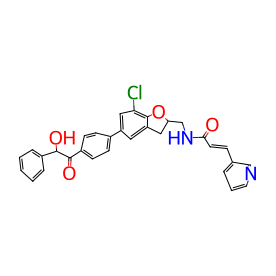 O=C(C=Cc1cccnc1)NCC1Cc2cc(-c3ccc(C(=O)C(O)c4ccccc4)cc3)cc(Cl)c2O1